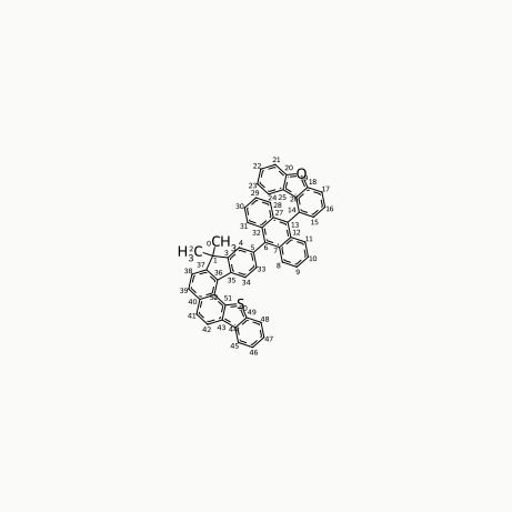 CC1(C)c2cc(-c3c4ccccc4c(-c4cccc5oc6ccccc6c45)c4ccccc34)ccc2-c2c1ccc1ccc3c4ccccc4sc3c21